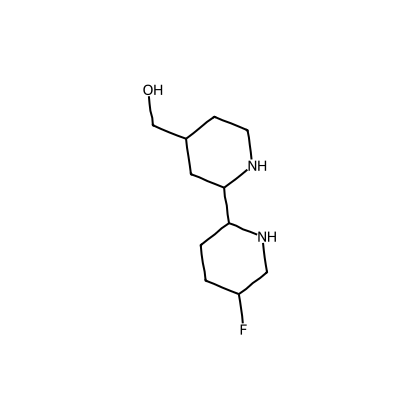 OCC1CCNC(C2CCC(F)CN2)C1